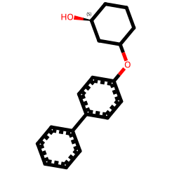 O[C@H]1CCCC(Oc2ccc(-c3ccccc3)cc2)C1